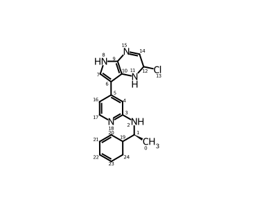 C[C@H](Nc1cc(-c2c[nH]c3c2NC(Cl)C=N3)ccn1)C1C=CC=CC1